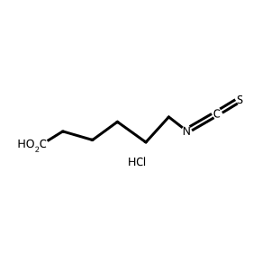 Cl.O=C(O)CCCCCN=C=S